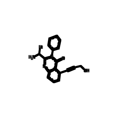 CCC(N)c1nc2cccc(C#CCO)c2c(=O)n1-c1ccccc1